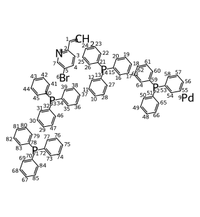 C=Cc1ccc(Br)cn1.[Pd].c1ccc(P(c2ccccc2)c2ccccc2)cc1.c1ccc(P(c2ccccc2)c2ccccc2)cc1.c1ccc(P(c2ccccc2)c2ccccc2)cc1.c1ccc(P(c2ccccc2)c2ccccc2)cc1